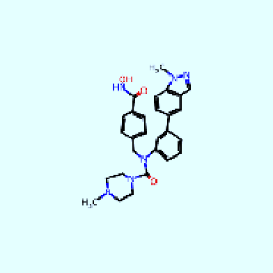 CN1CCN(C(=O)N(Cc2ccc(C(=O)NO)cc2)c2cccc(-c3ccc4c(cnn4C)c3)c2)CC1